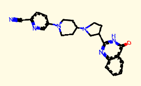 N#Cc1ccc(N2CCC(N3CCC(c4nc5ccccc5c(=O)[nH]4)C3)CC2)cn1